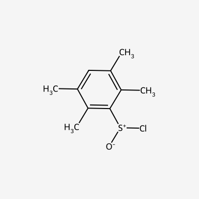 Cc1cc(C)c(C)c([S+]([O-])Cl)c1C